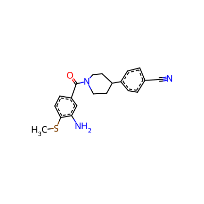 CSc1ccc(C(=O)N2CCC(c3ccc(C#N)cc3)CC2)cc1N